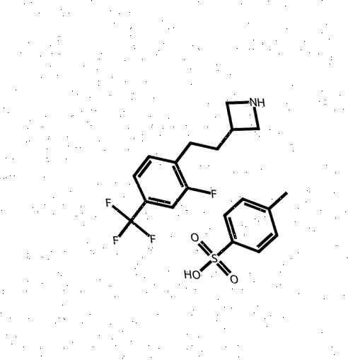 Cc1ccc(S(=O)(=O)O)cc1.Fc1cc(C(F)(F)F)ccc1CCC1CNC1